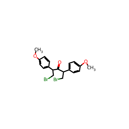 COc1ccc(C(CBr)C(=O)C(CBr)c2ccc(OC)cc2)cc1